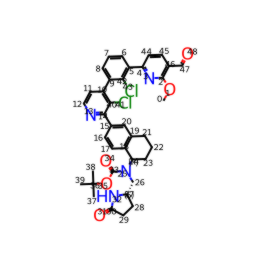 COc1nc(-c2cccc(-c3ccnc(-c4ccc5c(c4)CCC[C@H]5N(C[C@@H]4CCC(=O)N4)C(=O)OC(C)(C)C)c3Cl)c2Cl)ccc1C=O